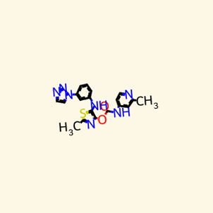 Cc1cc(NC(=O)Oc2nc(C)sc2Nc2cccc(-n3ccnn3)c2)ccn1